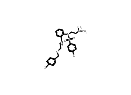 CN(C)CCN(c1ccccc1NCCOCc1ccc(Cl)cc1)S(=O)(=O)c1ccc(Cl)cc1